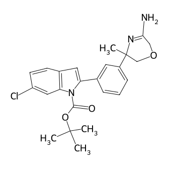 CC(C)(C)OC(=O)n1c(-c2cccc(C3(C)COCC(N)=N3)c2)cc2ccc(Cl)cc21